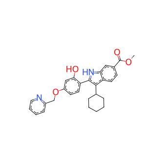 COC(=O)c1ccc2c(C3CCCCC3)c(-c3ccc(OCc4ccccn4)cc3O)[nH]c2c1